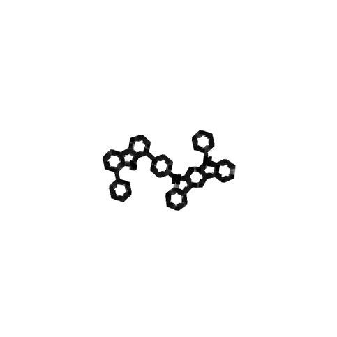 c1ccc(-c2cccc3c2sc2c(-c4ccc(-n5c6ccccc6c6cc7c8ccccc8n(-c8ccccc8)c7cc65)cc4)cccc23)cc1